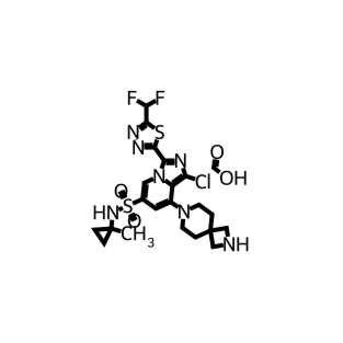 CC1(NS(=O)(=O)c2cc(N3CCC4(CC3)CNC4)c3c(Cl)nc(-c4nnc(C(F)F)s4)n3c2)CC1.O=CO